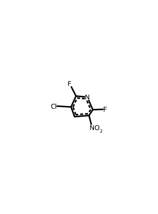 O=[N+]([O-])c1cc(Cl)c(F)nc1F